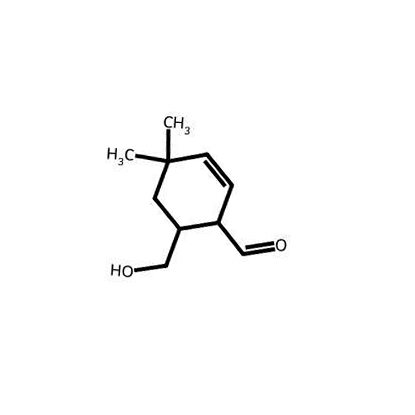 CC1(C)C=CC(C=O)C(CO)C1